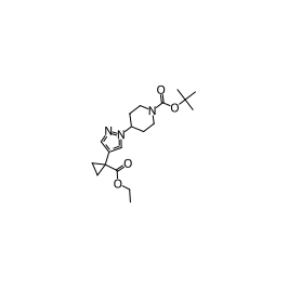 CCOC(=O)C1(c2cnn(C3CCN(C(=O)OC(C)(C)C)CC3)c2)CC1